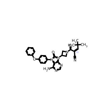 CC(C)(C)/C=C(/C#N)C(=O)N1CC(n2c(=O)n(-c3ccc(Oc4ccccc4)cc3)c3c(N)ncnc32)C1